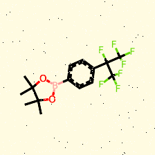 CC1(C)OB(c2ccc(C(F)(C(F)(F)F)C(F)(F)F)cc2)OC1(C)C